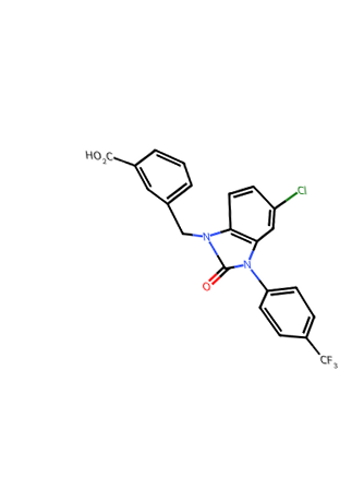 O=C(O)c1cccc(Cn2c(=O)n(-c3ccc(C(F)(F)F)cc3)c3cc(Cl)ccc32)c1